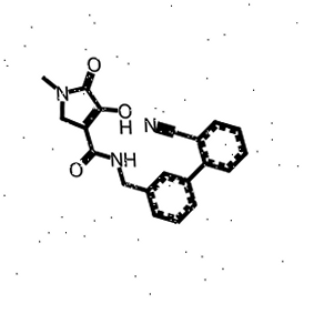 CN1CC(C(=O)NCc2cccc(-c3ccccc3C#N)c2)=C(O)C1=O